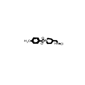 Cc1ccc(S(=O)(=O)N2CCC(CNCl)CC2)cc1